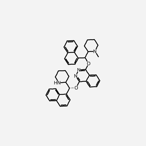 CN1CCCCC1C(Oc1nnc(O[C@H](c2cccc3ccccc23)C2CCCCN2)c2ccccc12)c1cccc2ccccc12